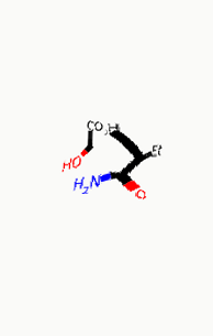 C=C(CC)C(N)=O.O=C(O)CO